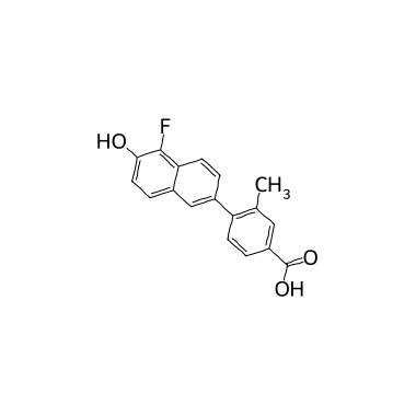 Cc1cc(C(=O)O)ccc1-c1ccc2c(F)c(O)ccc2c1